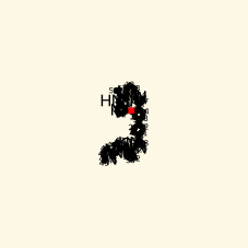 Cc1ccnc(N[C@H](C(=O)N2CCC[C@H]2c2ncc(-c3ccc(-c4ccc(-c5cnc([C@@H]6CCCN6C(=O)[C@@H](Nc6nccc(C)n6)C(C)C)[nH]5)cc4)cc3)[nH]2)C(C)C)n1